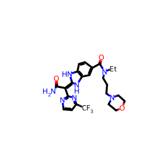 CCN(CCCN1CCOCC1)C(=O)c1ccc2c(c1)NC(=C(C(N)=O)c1nccc(C(F)(F)F)n1)N2